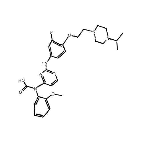 COc1ccccc1N(C(=O)O)c1ccnc(Nc2ccc(OCCN3CCN(C(C)C)CC3)c(F)c2)n1